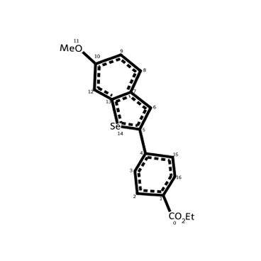 CCOC(=O)c1ccc(-c2cc3ccc(OC)cc3[se]2)cc1